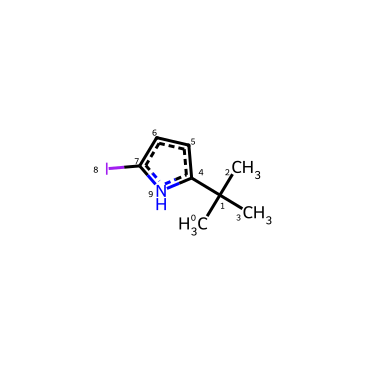 CC(C)(C)c1ccc(I)[nH]1